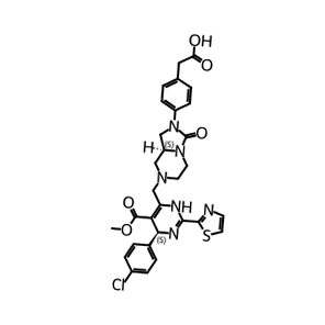 COC(=O)C1=C(CN2CCN3C(=O)N(c4ccc(CC(=O)O)cc4)C[C@@H]3C2)NC(c2nccs2)=N[C@H]1c1ccc(Cl)cc1